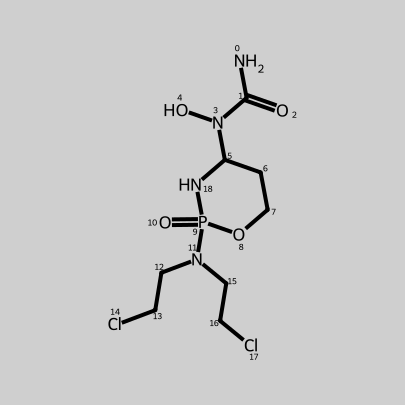 NC(=O)N(O)C1CCOP(=O)(N(CCCl)CCCl)N1